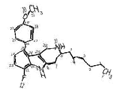 CCCCCCC1Cc2[nH]c3c(F)ccc(-c4ccc(OC)cc4)c3c2CN1